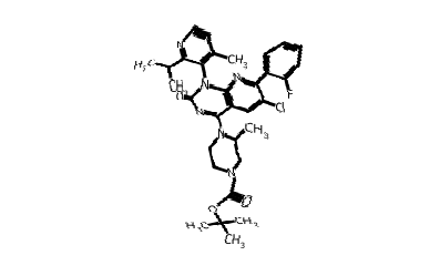 Cc1ccnc(C(C)C)c1-n1c(=O)nc(N2CCN(C(=O)OC(C)(C)C)CC2C)c2cc(Cl)c(-c3ccccc3F)nc21